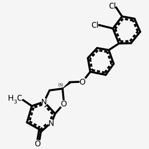 Cc1cc(=O)nc2n1C[C@@H](COc1ccc(-c3cccc(Cl)c3Cl)cc1)O2